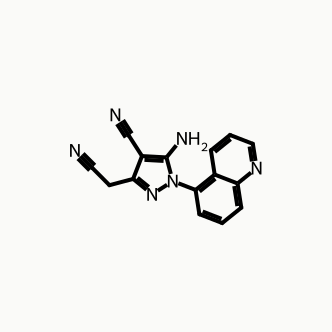 N#CCc1nn(-c2cccc3ncccc23)c(N)c1C#N